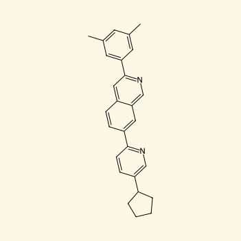 Cc1cc(C)cc(-c2cc3ccc(-c4ccc(C5CCCC5)cn4)cc3cn2)c1